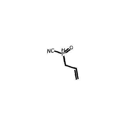 C=CC[PH](=O)C#N